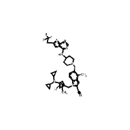 Cc1c(CN2CCC(Nc3ncnc4sc(CC(F)(F)F)cc34)CC2)ccc2c1cc(C#N)n2CC12CC(N(C3CC3)C3CC3)(C1)[C@H]2C